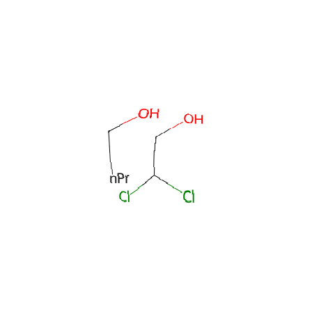 CCCCO.OCC(Cl)Cl